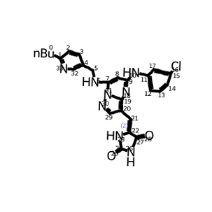 CCCCc1ccc(CNc2cc(Nc3cccc(Cl)c3)nc3c(/C=C4\NC(=O)NC4=O)cnn23)cn1